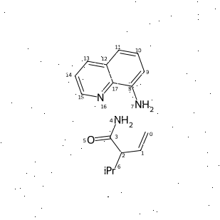 C=CC(C(N)=O)C(C)C.Nc1cccc2cccnc12